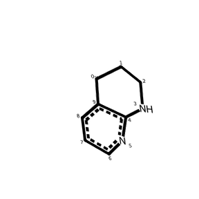 [C]1CCNc2ncccc21